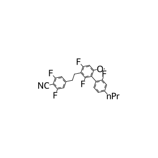 CCCc1ccc(-c2c([O])cc(F)c(CCc3cc(F)c(C#N)c(F)c3)c2F)c(F)c1